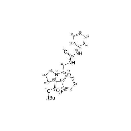 CC(C)(C)OC(=O)[C@@]1(c2ccccc2F)SCCN1C(=O)CNC(=O)Nc1[c]cccc1